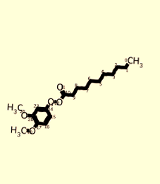 CCCCCCCCCCC(=O)OOc1ccc(OC)c(OC)c1